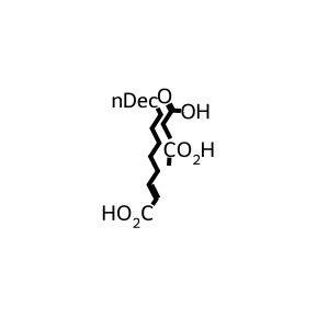 CC(=O)O.CCC(=O)O.CCCCCCCCCCCCCCCC=CC(=O)O